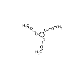 C=COCCOc1cc(OCCOC=C)cc(OCCOC=C)c1